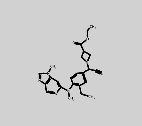 CCOC(=O)C1CN(C(C#N)c2ccc(N(C)c3cc4c(cn3)ncn4C)c(CC)c2)C1